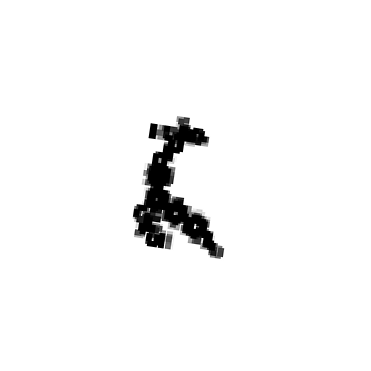 C=C(CO)C(=O)Oc1ccc(-c2ccc(OCCOC(O)C(=C)COC)cc2)cc1C1CCC(C2CCC(CCC)CC2)CC1